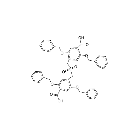 O=C(O)c1cc(OCc2ccccc2)c(CS(=O)(=O)Cc2cc(OCc3ccccc3)c(C(=O)O)cc2OCc2ccccc2)cc1OCc1ccccc1